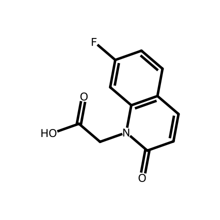 O=C(O)Cn1c(=O)ccc2ccc(F)cc21